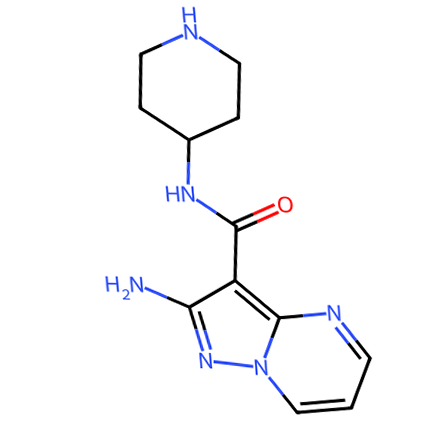 Nc1nn2cccnc2c1C(=O)NC1CCNCC1